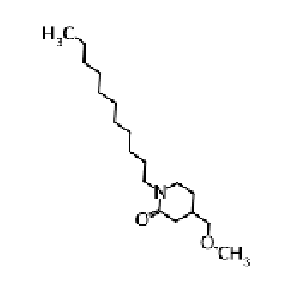 CCCCCCCCCCCN1CCC(COC)CC1=O